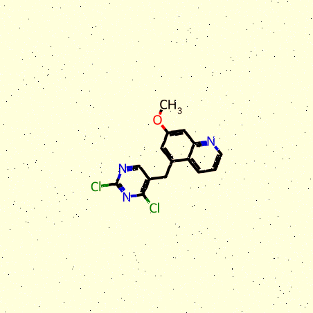 COc1cc(Cc2cnc(Cl)nc2Cl)c2cccnc2c1